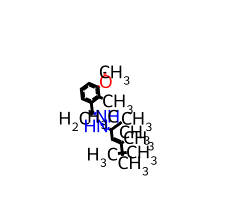 C=C(NNC(/C=C(\C)C(C)(C)C)C(C)(C)C)c1cccc(OC)c1C